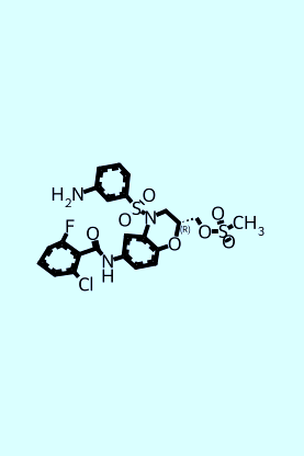 CS(=O)(=O)OC[C@H]1CN(S(=O)(=O)c2cccc(N)c2)c2cc(NC(=O)c3c(F)cccc3Cl)ccc2O1